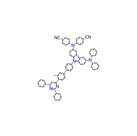 Cc1cc(-c2ccc(-n3c4ccc(N(c5ccccc5)c5ccccc5)cc4c4cc(N(c5ccc(C#N)cc5)c5ccc(C#N)cc5)ccc43)cc2)ccc1-c1cc(-c2ccccc2)nc(-c2ccccc2)n1